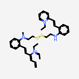 C=C/C=C(/C=C/c1ccccc1N(C)CCSSCCNc1ccccc1/C=C/c1cccc[n+]1CC)[N+](=C/C)\CC